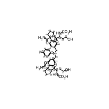 NC(=O)[C@@]1(c2ccc(CN(Cc3ccc([C@]4(C(N)=O)CCCN4C(=O)[C@H](CCO)NC(=O)O)cc3)c3ccc(F)cc3)cc2)CCCN1C(=O)[C@H](CCO)NC(=O)O